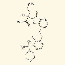 BC(O)(c1cccc(COc2cccc3c2CN(C(O)(CCC=O)C(=O)NC)C3=O)c1F)N1CCOCC1